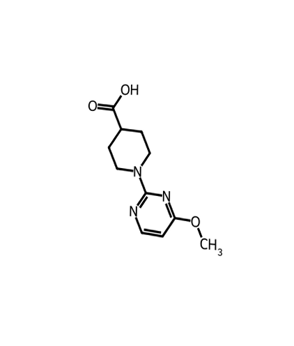 COc1ccnc(N2CCC(C(=O)O)CC2)n1